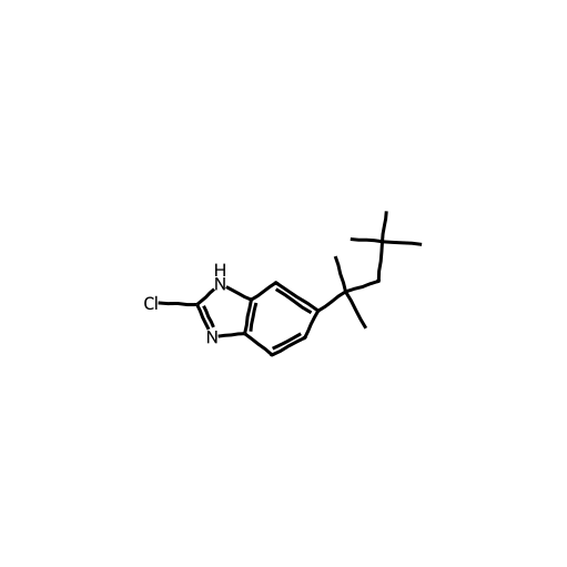 CC(C)(C)CC(C)(C)c1ccc2nc(Cl)[nH]c2c1